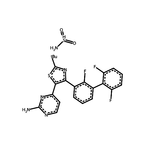 CC(C)(C)c1nc(-c2cccc(-c3c(F)cccc3F)c2F)c(-c2ccnc(N)n2)s1.N[SH](=O)=O